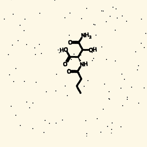 CCCC(=O)N[C@H](C(=O)O)C(O)C(N)=O